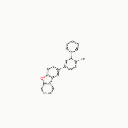 Brc1ccc(-c2ccc3oc4ccccc4c3c2)cc1-c1ccccc1